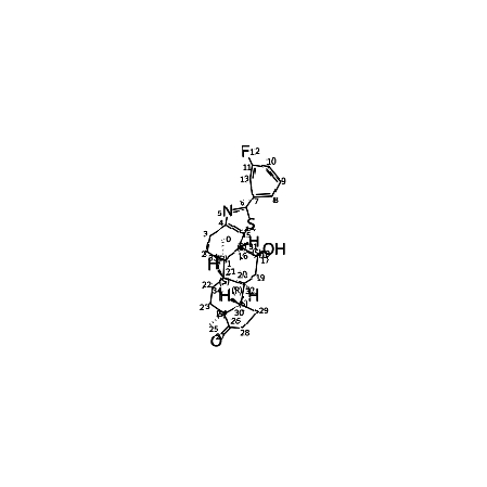 C[C@]12CCc3nc(-c4cccc(F)c4)sc3[C@@H]1[C@@H](O)C[C@@H]1[C@@H]2CC[C@]2(C)C(=O)CC[C@@H]12